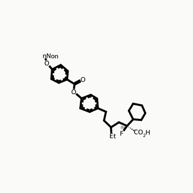 CCCCCCCCCOc1ccc(C(=O)Oc2ccc(CCC(CC)C[C@@](F)(C(=O)O)C3CCCCC3)cc2)cc1